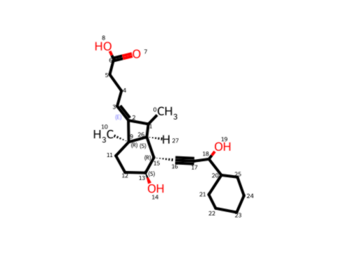 CC1/C(=C\CCC(=O)O)[C@]2(C)CC[C@H](O)[C@@H](C#CC(O)C3CCCCC3)[C@H]12